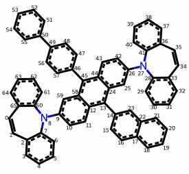 C1=Cc2ccccc2N(c2ccc3c(-c4ccc5ccccc5c4)c4cc(N5c6ccccc6C=Cc6ccccc65)ccc4c(-c4ccc(-c5ccccc5)cc4)c3c2)c2ccccc21